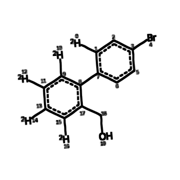 [2H]c1cc(Br)ccc1-c1c([2H])c([2H])c([2H])c([2H])c1CO